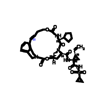 C=C[C@@H]1C[C@]1(NC(=O)[C@@H]1C[C@@H]2CN1C(=O)[C@H](C1CCCC1)NC(=O)OCC/C=C/c1cccc3c1CN(C3)C(=O)O2)C(=O)NS(=O)(=O)C1CC1